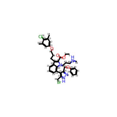 CCOC(=O)c1c(CCCOc2cc(C)c(Cl)c(C)c2)c2cccc(-c3c(COc4ccccc4)n[nH]c3CBr)c2n1CCCNC